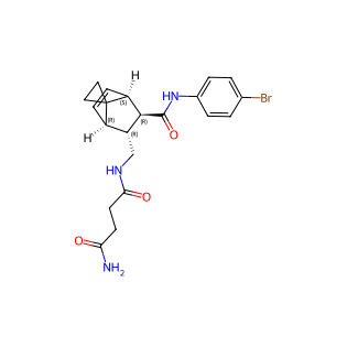 NC(=O)CCC(=O)NC[C@H]1[C@H](C(=O)Nc2ccc(Br)cc2)[C@@H]2C=C[C@H]1C21CC1